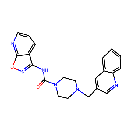 O=C(Nc1noc2ncccc12)N1CCN(Cc2cnc3ccccc3c2)CC1